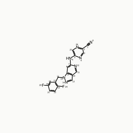 N#Cc1cnc(Nc2cc3c(cn2)cnn3Cc2cc(F)ccc2F)cn1